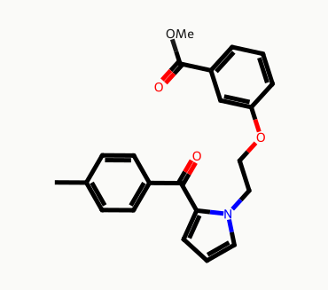 COC(=O)c1cccc(OCCn2cccc2C(=O)c2ccc(C)cc2)c1